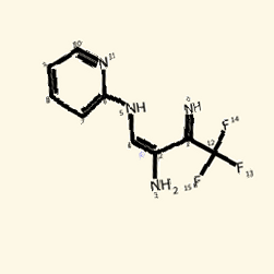 N=C(/C(N)=C\Nc1ccccn1)C(F)(F)F